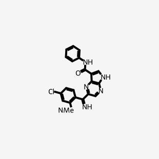 CNc1cc(Cl)ccc1C(=N)c1cnc2[nH]cc(C(=O)Nc3ccccc3)c2n1